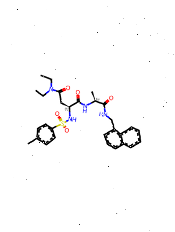 CCN(CC)C(=O)C[C@H](NS(=O)(=O)c1ccc(C)cc1)C(=O)N[C@@H](C)C(=O)NCc1cccc2ccccc12